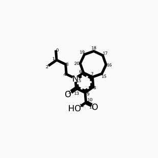 CC(C)CCn1c2c(cc(C(=O)O)c1=O)CCCCCC2